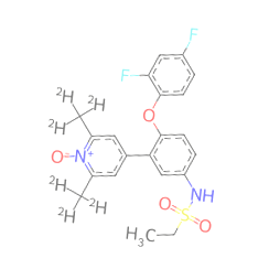 [2H]C([2H])([2H])c1cc(-c2cc(NS(=O)(=O)CC)ccc2Oc2ccc(F)cc2F)cc(C([2H])([2H])[2H])[n+]1[O-]